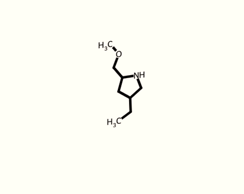 CCC1CNC(COC)C1